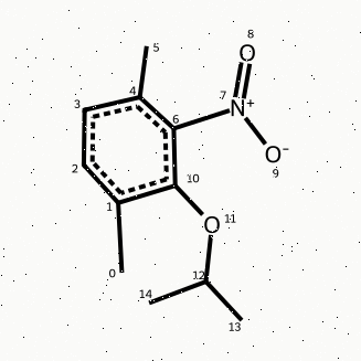 Cc1ccc(C)c([N+](=O)[O-])c1OC(C)C